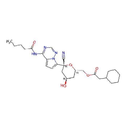 CCCCC(=O)Nc1ncnn2c([C@@]3(C#N)C[C@H](O)C[C@@H](COC(=O)CC4CCCCC4)O3)ccc12